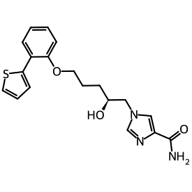 NC(=O)c1cn(C[C@@H](O)CCCOc2ccccc2-c2cccs2)cn1